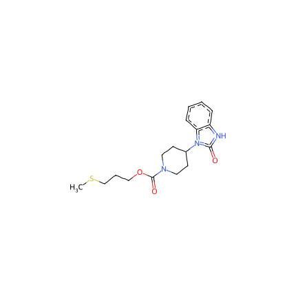 CSCCCOC(=O)N1CCC(n2c(=O)[nH]c3ccccc32)CC1